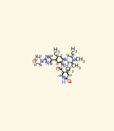 Cc1cc(N2C[C@@H](C)N(C)[C@@H](C)C2)c(NC(=O)c2c[nH]c(=O)cc2C(F)(F)F)cc1-c1cnc(N2CCOCC2)nc1